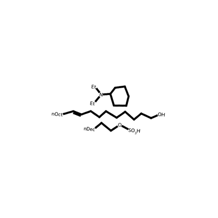 CCCCCCCCC=CCCCCCCCCO.CCCCCCCCCCCCOS(=O)(=O)O.CCN(CC)C1CCCCC1